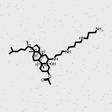 CC(=O)OC1CC[C@]2(C)[C@H]3CC[C@]4(C)[C@@H]([C@H](C)CCCC(C)C)CC[C@H]4[C@@H]3CC(NCCCNCCCCNCCCN)[C@@]2(O)C1